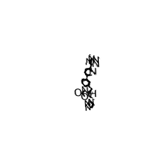 Cn1nnc(-c2ccc(-c3ccc4c(c3)C[C@H]3C(Cn5ccnn5)OC(=O)N43)cn2)n1